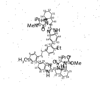 CCc1ccc(CCc2ccc(C)cc2-c2ccc3[nH]c(C4CC5CCCC[C@@H]5N4C(=O)C(NC(=O)OC)C(C)C)nc3c2)cc1-c1ccc2[nH]c(C3CC4CCCC[C@@H]4N3C(=O)C(NC)C(C)C)nc2c1